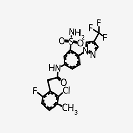 Cc1ccc(F)c(CC(=O)Nc2ccc(-n3cc(C(F)(F)F)cn3)c(S(N)(=O)=O)c2)c1Cl